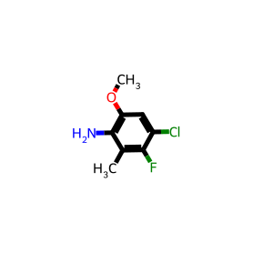 COc1cc(Cl)c(F)c(C)c1N